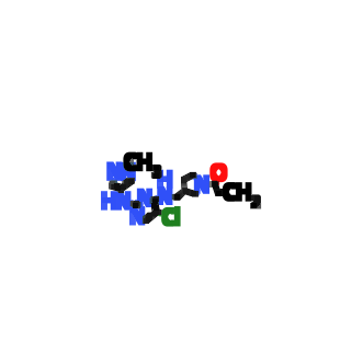 C=CC(=O)N1CC[C@H](CNc2nc(Nc3cnn(C)c3)ncc2Cl)C1